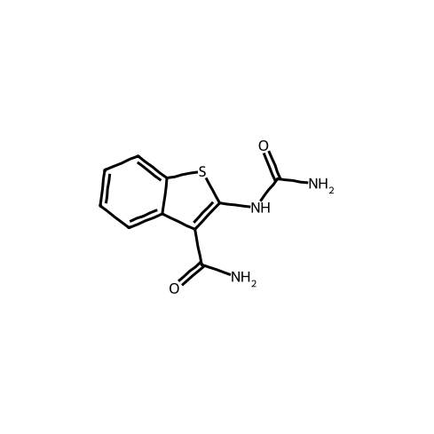 NC(=O)Nc1sc2ccccc2c1C(N)=O